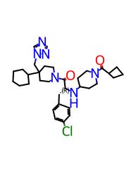 O=C(C1CCC1)N1CCC(N[C@H](Cc2ccc(Cl)cc2)C(=O)N2CCC(Cn3cncn3)(C3CCCCC3)CC2)CC1